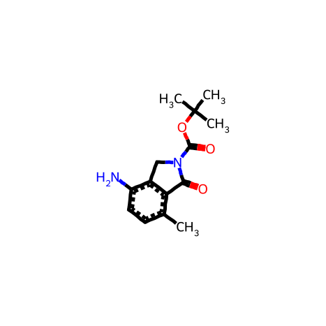 Cc1ccc(N)c2c1C(=O)N(C(=O)OC(C)(C)C)C2